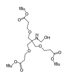 CC(C)(C)OC(=O)CCOCC(COCCC(=O)OC(C)(C)C)(COCCC(=O)OC(C)(C)C)NCO